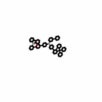 c1ccc(-c2cccc(N(c3ccc(-c4ccc(-c5ccccc5-n5c6ccccc6c6ccccc65)cc4)cc3)c3ccc(-c4cccc5c4-c4ccccc4C5(c4ccccc4)c4ccccc4)cc3)c2)cc1